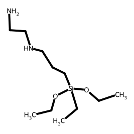 CCO[Si](CC)(CCCNCCN)OCC